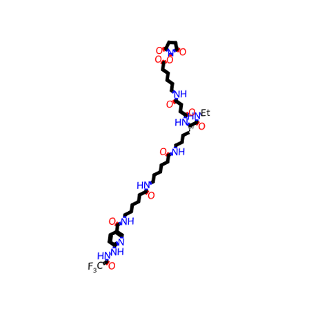 CCNC(=O)[C@H](CCCCNC(=O)CCCCCNC(=O)CCCCCNC(=O)c1ccc(NNC(=O)C(F)(F)F)nc1)NC(=O)CCC(=O)NCCCCCC(=O)ON1C(=O)CCC1=O